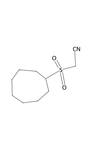 N#CCS(=O)(=O)C1CCCCCCC1